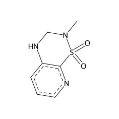 CN1CNc2cccnc2S1(=O)=O